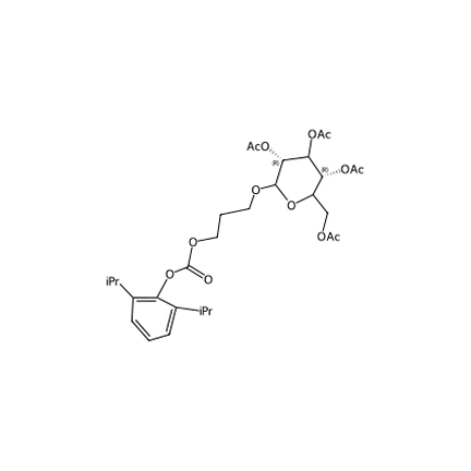 CC(=O)OCC1OC(OCCCOC(=O)Oc2c(C(C)C)cccc2C(C)C)[C@H](OC(C)=O)C(OC(C)=O)[C@@H]1OC(C)=O